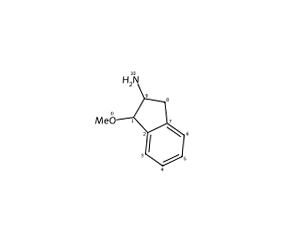 COC1c2ccccc2CC1N